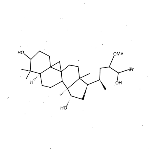 COC(C[C@@H](C)[C@H]1C[C@H](O)[C@@]2(C)C3CC[C@H]4C(C)(C)C(O)CCC45CC35CCC12C)C(O)C(C)C